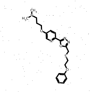 CN(C)CCCOc1ccc(-c2nnc(CSCCOc3ccccc3)o2)nc1